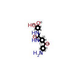 COc1ccc(NC=C2C(=O)Nc3cc(C(=O)c4ccc(N)cc4)ccc32)cc1O